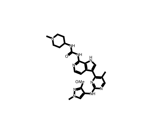 COc1nn(C)cc1Nc1ncc(C)c(-c2c[nH]c3c(NC(=O)NC4CCN(C)CC4)nccc23)n1